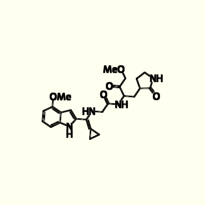 COCC(=O)C(CC1CCNC1=O)NC(=O)CNC(=C1CC1)c1cc2c(OC)cccc2[nH]1